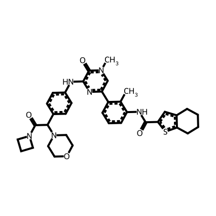 Cc1c(NC(=O)c2cc3c(s2)CCCC3)cccc1-c1cn(C)c(=O)c(Nc2ccc(C(C(=O)N3CCC3)N3CCOCC3)cc2)n1